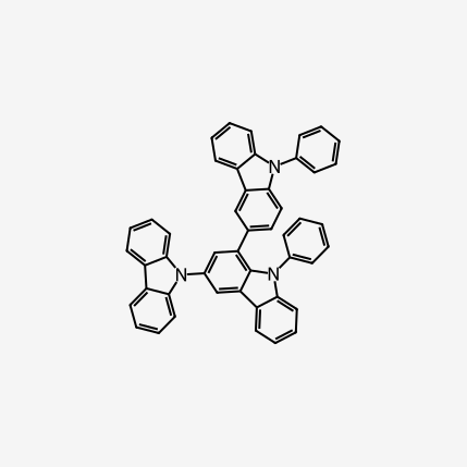 c1ccc(-n2c3ccccc3c3cc(-c4cc(-n5c6ccccc6c6ccccc65)cc5c6ccccc6n(-c6ccccc6)c45)ccc32)cc1